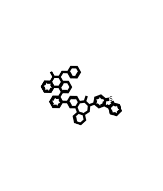 CC1c2ccccc2C2=C(CCC=C2c2ccccc2C2=CC3C4C=CCCC4CC(c4ccc5sc6ccccc6c5c4)C(C)C3C=C2)C1CC1=CC=CCC1